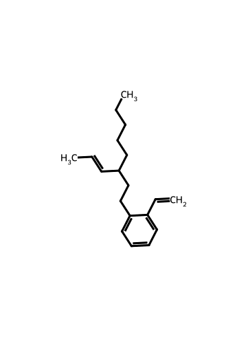 C=Cc1ccccc1CCC(C=CC)CCCCC